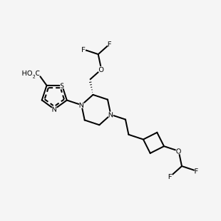 O=C(O)c1cnc(N2CCN(CCC3CC(OC(F)F)C3)C[C@H]2COC(F)F)s1